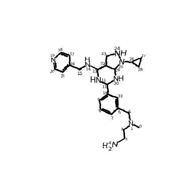 CN(CCN)Cc1cccc(C2NC(NCc3ccncc3)C3CNN(C4CC4)C3N2)c1